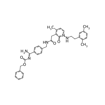 Cc1ccc(C)c(CCNn2ccc(C)c(CC(=O)NCc3ccc(C(N)=NC(=O)OCc4ccccc4)cc3)c2=O)c1